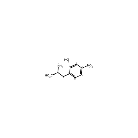 Cl.N[C@@H](Cc1ccc([N+](=O)[O-])cc1)C(=O)O